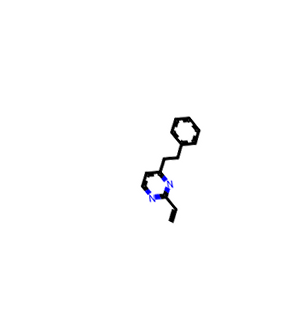 C=Cc1nccc(CCc2ccccc2)n1